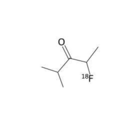 CC(C)C(=O)C(C)[18F]